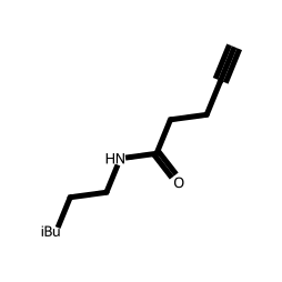 C#CCCC(=O)NCCC(C)CC